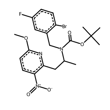 COc1ccc([N+](=O)[O-])c(CC(C)N(Cc2cc(F)ccc2Br)C(=O)OC(C)(C)C)n1